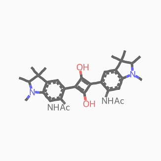 CC(=O)Nc1cc2c(cc1C1=C(O)C(c3cc4c(cc3NC(C)=O)N(C)C(C)C4(C)C)=C1O)C(C)(C)C(C)N2C